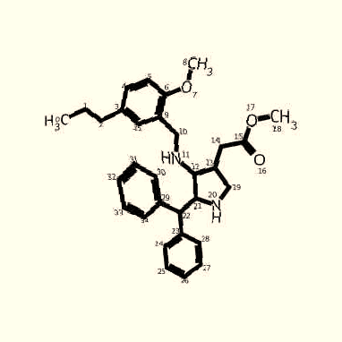 CCCc1ccc(OC)c(CNC2C(CC(=O)OC)CNC2C(c2ccccc2)c2ccccc2)c1